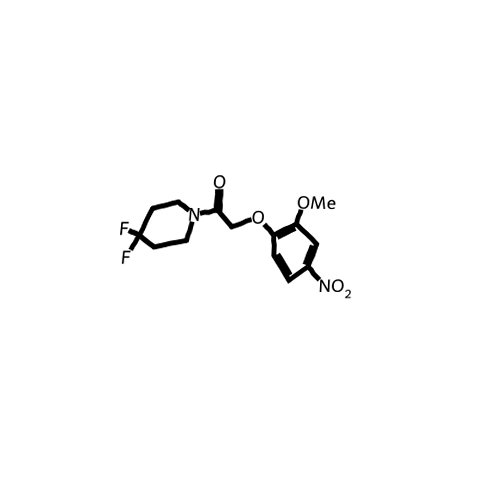 COc1cc([N+](=O)[O-])ccc1OCC(=O)N1CCC(F)(F)CC1